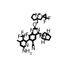 Cc1cc(N)nc(-c2c(C#N)cc3c(N4C[C@H]5CC[C@@H](C4)N5)nc(OC[C@@]45CCCN4C[C@@]4(CC4(F)F)C5)nc3c2F)c1C(F)(F)F